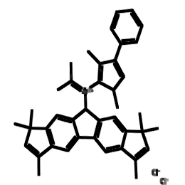 CC1=CC(C)(C)c2cc3c(cc21)-c1cc2c(cc1[CH]3[Zr+2]([C]1=C(C)C(c3ccccc3)=CC1C)=[C](C)C)C(C)(C)C=C2C.[Cl-].[Cl-]